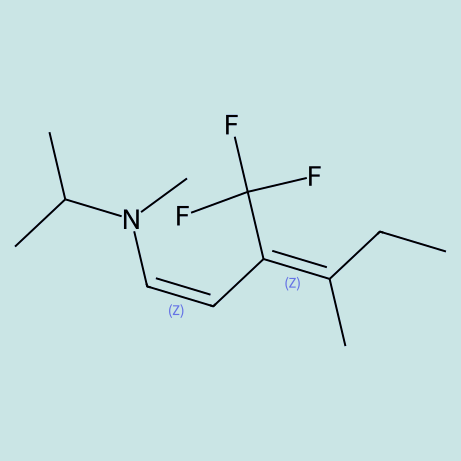 CC/C(C)=C(/C=C\N(C)C(C)C)C(F)(F)F